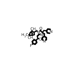 CC1C(CN2C(=O)C(Cc3ccncc3)(Cc3ccncc3)NC2=CC(=O)c2ccc(F)cc2)CC2CC1C2(C)C